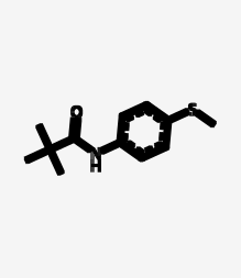 CSc1ccc(NC(=O)C(C)(C)C)cc1